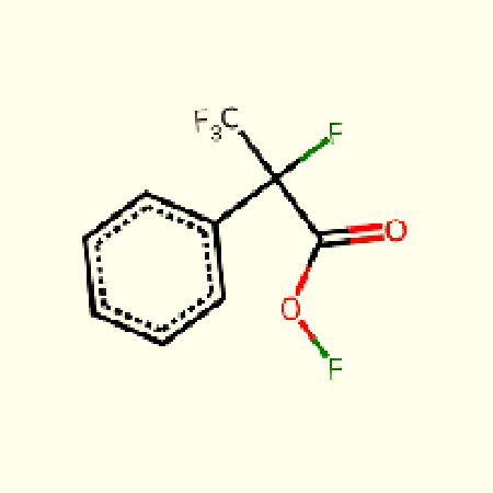 O=C(OF)C(F)(c1ccccc1)C(F)(F)F